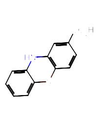 O=C(O)c1ccc2c(c1)Nc1ccccc1S2